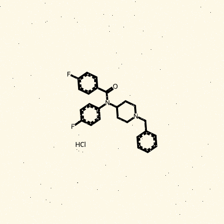 Cl.O=C(c1ccc(F)cc1)N(c1ccc(F)cc1)C1CCN(Cc2ccccc2)CC1